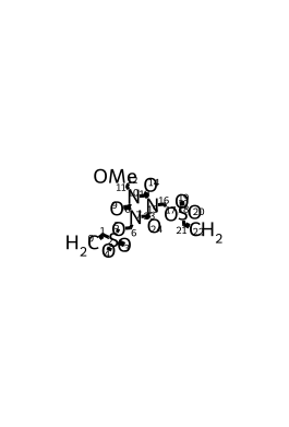 C=CS(=O)(=O)OCn1c(=O)n(COC)c(=O)n(COS(=O)(=O)C=C)c1=O